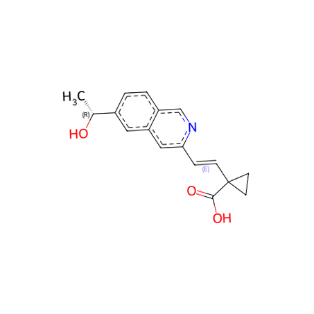 C[C@@H](O)c1ccc2cnc(/C=C/C3(C(=O)O)CC3)cc2c1